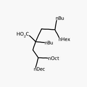 CCCCCCCCCCC(CCCCCCCC)CC(CCCC)(CC(CCCC)CCCCCC)C(=O)O